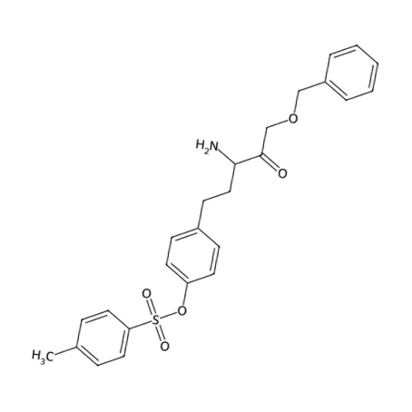 Cc1ccc(S(=O)(=O)Oc2ccc(CCC(N)C(=O)COCc3ccccc3)cc2)cc1